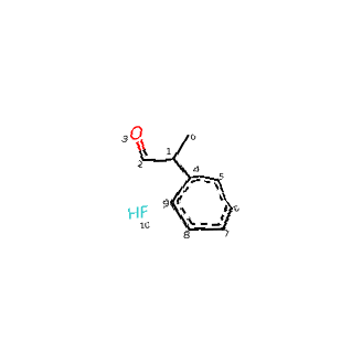 CC(C=O)c1ccccc1.F